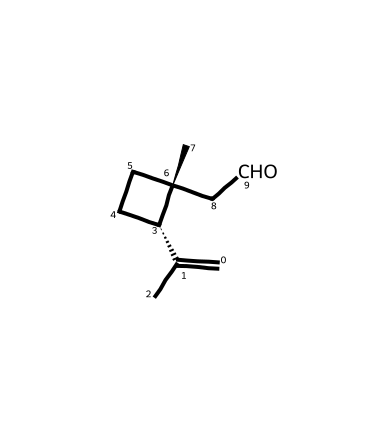 C=C(C)[C@@H]1CC[C@]1(C)CC=O